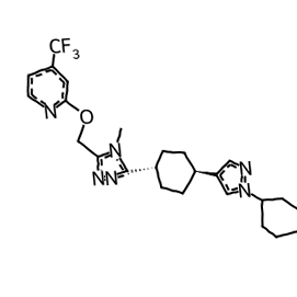 Cn1c(COc2cc(C(F)(F)F)ccn2)nnc1[C@H]1CC[C@H](c2cnn(C3CCCCC3)c2)CC1